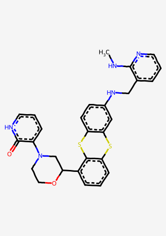 CNc1ncccc1CNc1ccc2c(c1)Sc1cccc(C3CN(c4ccc[nH]c4=O)CCO3)c1S2